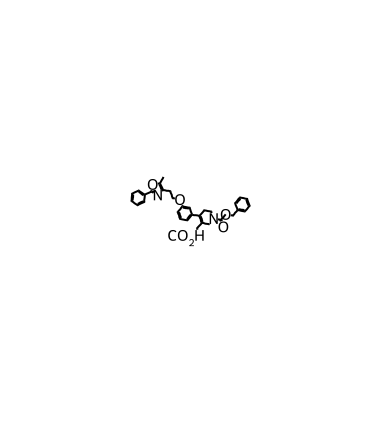 Cc1oc(-c2ccccc2)nc1CCOc1cccc(C2=C(CC(=O)O)CN(C(=O)OCc3ccccc3)CC2)c1